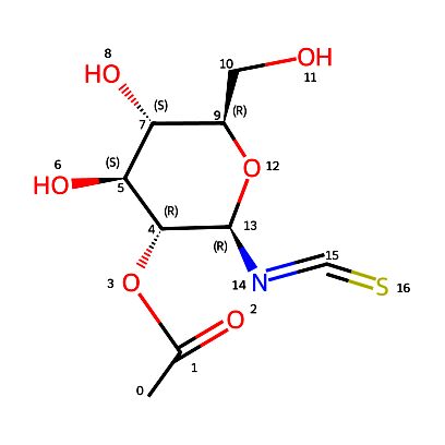 CC(=O)O[C@@H]1[C@@H](O)[C@H](O)[C@@H](CO)O[C@H]1N=C=S